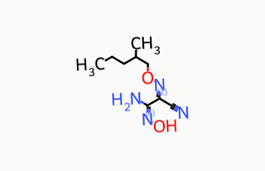 CCCC(C)CO/N=C(C#N)\C(N)=N/O